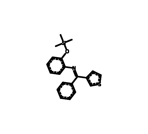 C[Si](C)(C)Oc1ccccc1N=C(c1ccccc1)c1ccsc1